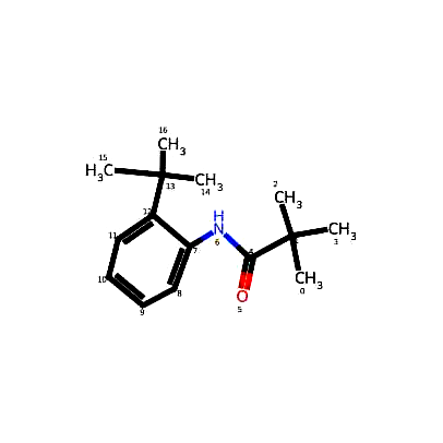 CC(C)(C)C(=O)Nc1ccccc1C(C)(C)C